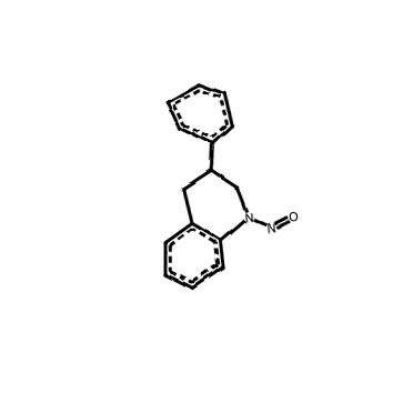 O=NN1CC(c2ccccc2)Cc2ccccc21